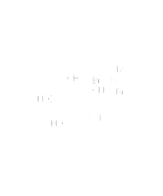 C[C]1C(C)=C(C)C(C)=C1C.[Br][Ti]([Br])[Br]